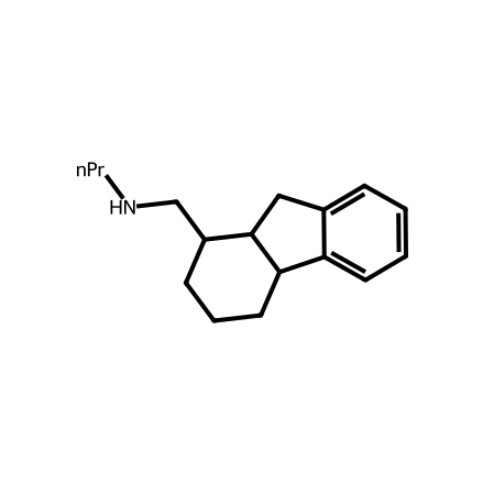 CCCNCC1CCCC2c3ccccc3CC12